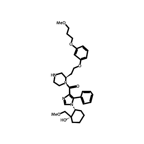 COCCCOc1cccc(OCC[C@@H]2CNCCN2C(=O)c2ncn([C@@H]3CCCC[C@@]3(O)COC)c2-c2ccccc2)c1